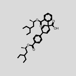 CCC(CC)C[C@@H](C)OC(=O)c1ccc(C2C=CC(C(=O)O)(c3ccccc3C(=O)O[C@H](C)CC(CC)CC)C=C2)cc1